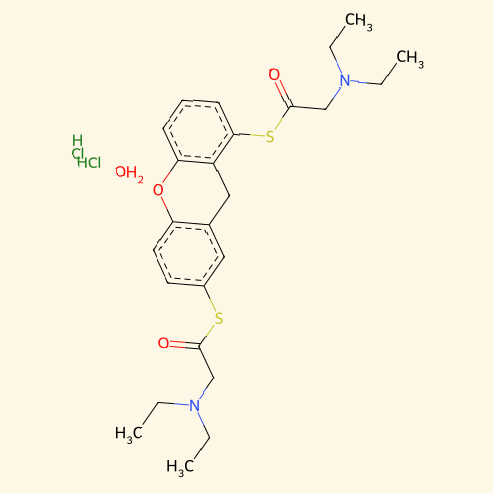 CCN(CC)CC(=O)Sc1ccc2c(c1)Cc1c(cccc1SC(=O)CN(CC)CC)O2.Cl.Cl.O